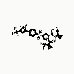 Cn1nc(C(F)(F)F)cc1-c1ccc(S(=O)(=O)[C@@H]2C[C@@H](C(=O)NC3(C#N)CC3)N(C(=O)C3(C(F)(F)F)CC3)C2)cc1